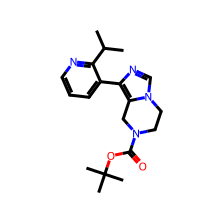 CC(C)c1ncccc1-c1ncn2c1CN(C(=O)OC(C)(C)C)CC2